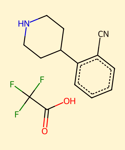 N#Cc1ccccc1C1CCNCC1.O=C(O)C(F)(F)F